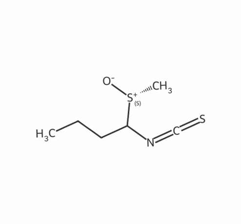 CCCC(N=C=S)[S@@+](C)[O-]